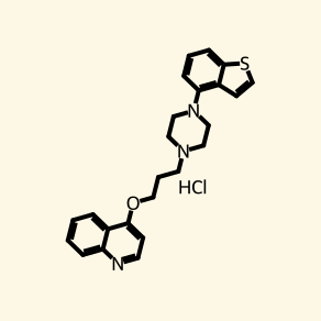 Cl.c1ccc2c(OCCCN3CCN(c4cccc5sccc45)CC3)ccnc2c1